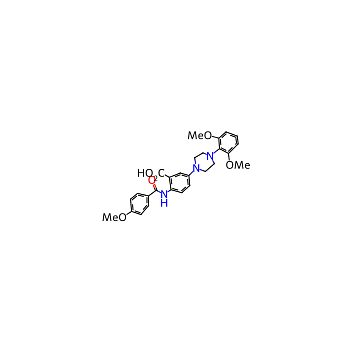 COc1ccc(C(=O)Nc2ccc(N3CCN(c4c(OC)cccc4OC)CC3)cc2C(=O)O)cc1